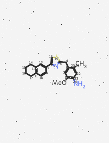 COc1cc(Cc2nc(-c3ccc4c(c3)CCCC4)cs2)c(C)cc1N